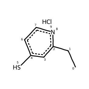 CCc1cc(S)ccn1.Cl